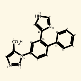 O=C(O)c1cnnn1-c1ccc(-c2ccccc2)c(-c2c[nH]cn2)c1